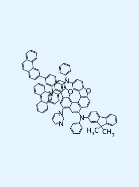 CC1(C)c2ccccc2-c2ccc(N(c3ccccc3)c3cc4c(N5C=CC=NC5)cc5c(oc6cccc(N7C=c8ccccc8=C8C=CC=CC87)c65)c4c4c3ccc3oc5ccc(N(c6ccccc6)c6cc7ccccc7c7cc(-c8ccc9ccc%10ccccc%10c9c8)ccc67)cc5c34)cc21